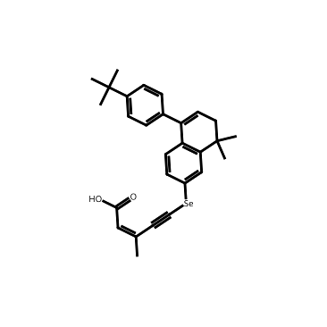 CC(C#C[Se]c1ccc2c(c1)C(C)(C)CC=C2c1ccc(C(C)(C)C)cc1)=CC(=O)O